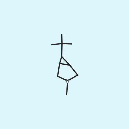 CN1CC2C(C1)C2C(C)(C)C